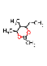 CCC1OB(C)OC(C)C1C